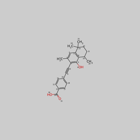 Cc1cc2c(c(O)c1C#Cc1ccc(C(=O)O)cc1)C(C)CCC2(C)C